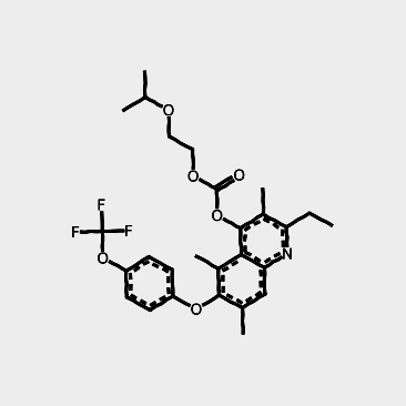 CCc1nc2cc(C)c(Oc3ccc(OC(F)(F)F)cc3)c(C)c2c(OC(=O)OCCOC(C)C)c1C